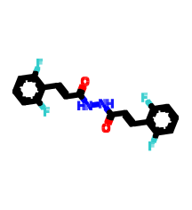 O=C(/C=C/c1c(F)cccc1F)NNC(=O)/C=C/c1c(F)cccc1F